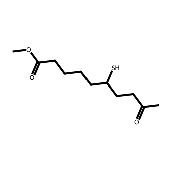 COC(=O)CCCCC(S)CCC(C)=O